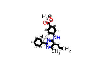 C=CCc1c(C)nc(-c2ccccc2)nc1Nc1ccc(C(=O)OC)cc1C